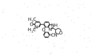 Cc1cc(-c2ccc3[nH]c(C4CCOCC4)nc3c2Oc2cccc(C#N)c2)cn(C)c1=O